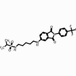 CC(C)S(=O)(=O)NCCCCCNc1ccc2c(c1)C(=O)N(c1ccc(C(F)(F)F)cc1)C2=O